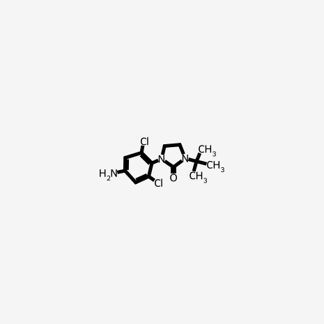 CC(C)(C)N1CCN(c2c(Cl)cc(N)cc2Cl)C1=O